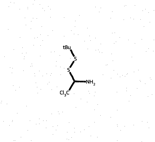 CC(C)(C)SSC(N)C(Cl)(Cl)Cl